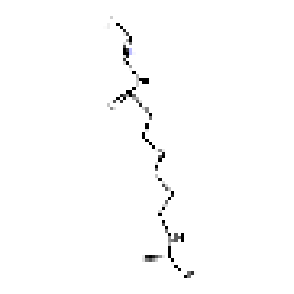 C/C=N/NC(=O)CCSSCCNC(=O)CCC